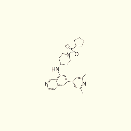 Cc1cc(-c2cc(NC3CCN(S(=O)(=O)C4CCCC4)CC3)c3cnccc3c2)cc(C)n1